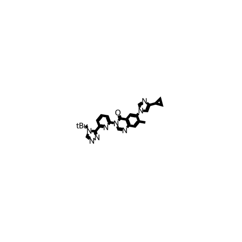 Cc1cc2ncn(-c3cccc(-c4nncn4C(C)(C)C)n3)c(=O)c2cc1-n1cnc(C2CC2)c1